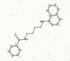 O=C(NCCCCNc1ccnc2ccccc12)c1ccccc1